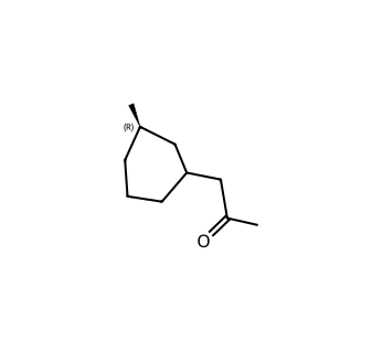 CC(=O)CC1CCC[C@@H](C)C1